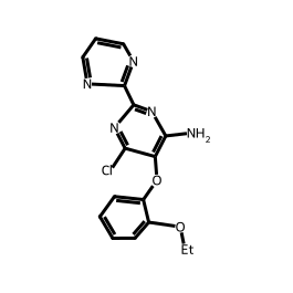 CCOc1ccccc1Oc1c(N)nc(-c2ncccn2)nc1Cl